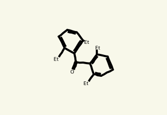 CCc1cccc(CC)c1C(=O)c1c(CC)cccc1CC